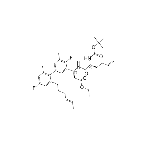 C=CCC[C@H](NC(=O)OC(C)(C)C)C(=O)N[C@@H](CC(=O)OCC)c1cc(-c2c(C)cc(F)cc2CCCC=CC)cc(C)c1F